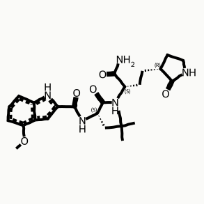 COc1cccc2[nH]c(C(=O)N[C@@H](CC(C)(C)C)C(=O)N[C@@H](CC[C@@H]3CCNC3=O)C(N)=O)cc12